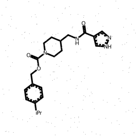 CC(C)c1ccc(COC(=O)N2CCC(CNC(=O)c3cn[nH]c3)CC2)cc1